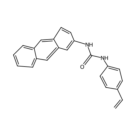 C=Cc1ccc(NC(=O)Nc2ccc3cc4ccccc4cc3c2)cc1